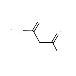 COC(=S)CC(=O)C(F)(F)F